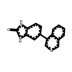 O=c1[nH]c2ccc(-c3cncc4ccccc34)cc2[nH]1